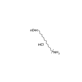 CCCCCCCCCCCCCCCCCCCCCCC(C)(C)N.Cl